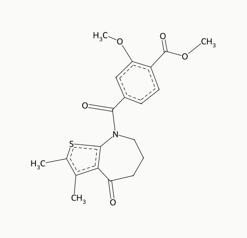 COC(=O)c1ccc(C(=O)N2CCCC(=O)c3c2sc(C)c3C)cc1OC